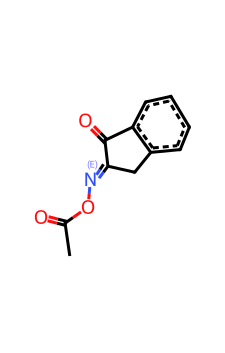 CC(=O)O/N=C1\Cc2ccccc2C1=O